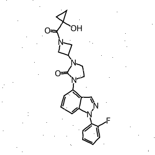 O=C1N(c2cccc3c2cnn3-c2ccccc2F)CCN1C1CN(C(=O)C2(O)CC2)C1